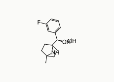 CC12CCC([C@H](O)c3cccc(F)c3)(CC1)N2.Cl